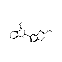 Cc1ccc2cnc(-c3c/c(=N\O)c4ccccc4o3)cc2c1